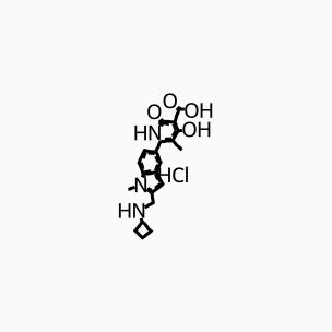 Cc1c(-c2ccc3c(c2)cc(CNC2CCC2)n3C)[nH]c(=O)c(C(=O)O)c1O.Cl